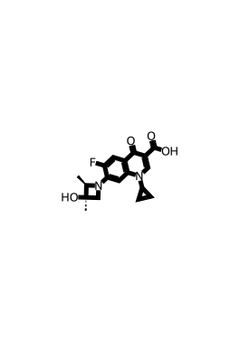 C[C@H]1N(c2cc3c(cc2F)c(=O)c(C(=O)O)cn3C2CC2)C[C@@]1(C)O